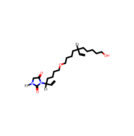 C=CC(CC)(CCCCCO)CCCCOCCCCC(C=C)(CC)N1C(=O)CN(CC)C1=O